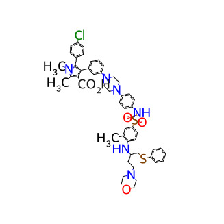 Cc1cc(S(=O)(=O)Nc2ccc(N3CCN(c4cccc(-c5c(C(=O)O)c(C)n(C)c5-c5ccc(Cl)cc5)c4)CC3)cc2)ccc1N[C@H](CCN1CCOCC1)CSc1ccccc1